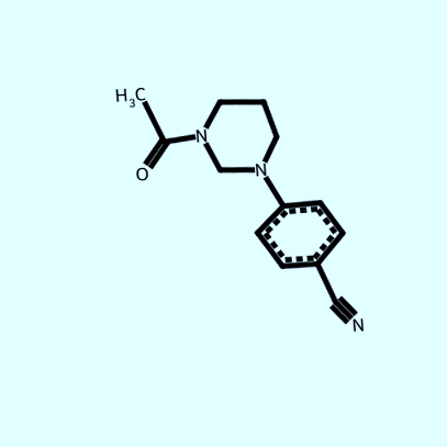 CC(=O)N1CCCN(c2ccc(C#N)cc2)C1